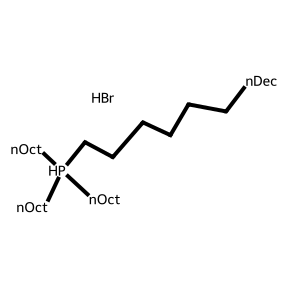 Br.CCCCCCCCCCCCCCCC[PH](CCCCCCCC)(CCCCCCCC)CCCCCCCC